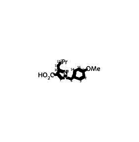 COc1ccc(Cn2cc(C(=O)O)c(CC(C)C)n2)cc1